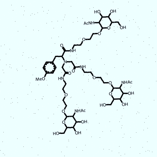 COc1ccc(CC(C(=O)NCCOCCOC2OC(CO)C(O)C(O)C2NC(C)=O)N(CC(=O)NCCOCCOC2OC(CO)C(O)C(O)C2NC(C)=O)CC(=O)NCCOCCOC2OC(CO)C(O)C(O)C2NC(C)=O)cc1